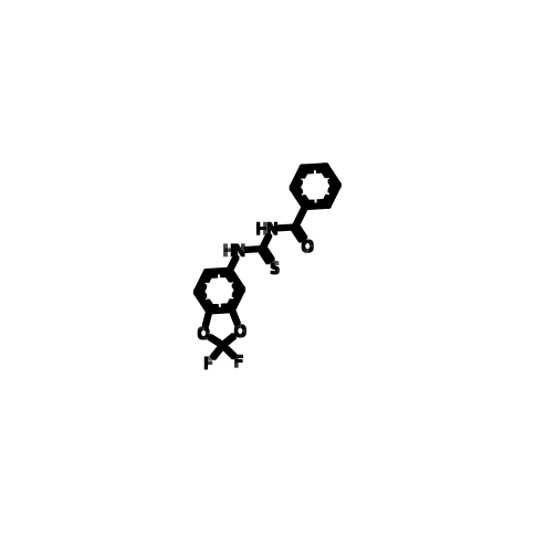 O=C(NC(=S)Nc1ccc2c(c1)OC(F)(F)O2)c1ccccc1